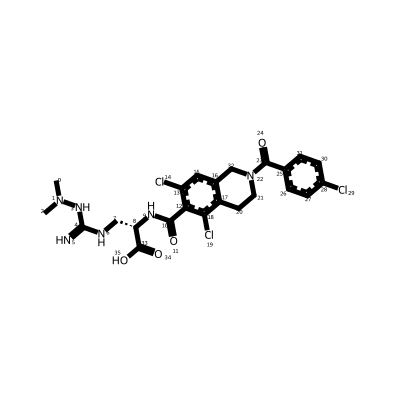 CN(C)NC(=N)NC[C@H](NC(=O)c1c(Cl)cc2c(c1Cl)CCN(C(=O)c1ccc(Cl)cc1)C2)C(=O)O